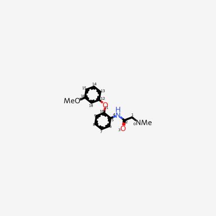 CNCC(=O)Nc1ccccc1Oc1cccc(OC)c1